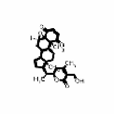 CC1=C(CO)C(=O)OC([C@@H](C)C2CCC3C4C[C@H]5O[C@]56C(=O)C=CC(=O)[C@]6(C)C4CC[C@@]32C)C1